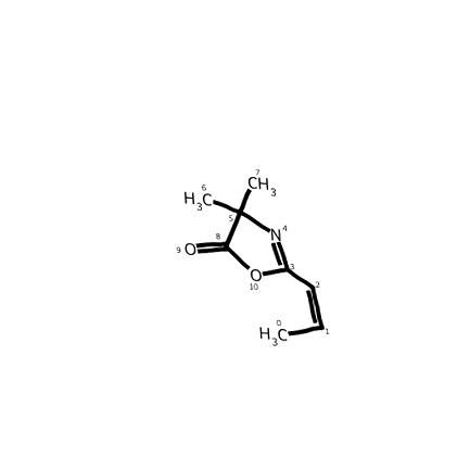 C/C=C\C1=NC(C)(C)C(=O)O1